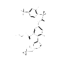 CCOC(=O)c1cc(NC(=O)C2(c3ccc(C(F)(F)F)cc3F)CC2)cc(F)c1-c1cnn(CC2(C)CC2)c1